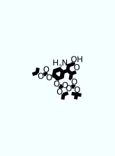 CC(C)OC(=O)Oc1ccc(C(C(C)COC(=O)OC(C)(C)C)[C@H](N)C(=O)O)cc1OC(=O)OC(C)C